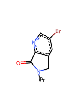 CC(C)N1Cc2cc(Br)cnc2C1=O